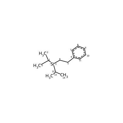 CC(C)[Si](CCc1ccccc1)C(C)C